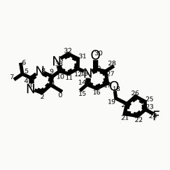 Cc1cnc(C(C)C)nc1-c1cc(-n2c(C)cc(OCc3ccc(F)cc3)c(C)c2=O)ccn1